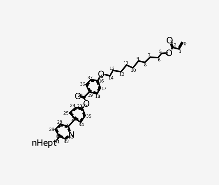 C=CC(=O)OCCCCCCCCCCOc1ccc(C(=O)Oc2ccc(-c3ccc(CCCCCCC)cn3)cc2)cc1